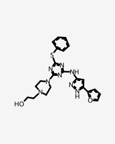 OCCN1CCN(c2nc(Nc3cc(-c4ccco4)[nH]n3)nc(Sc3ccccc3)n2)CC1